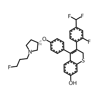 Oc1ccc2c(c1)SCC(c1ccc(C(F)F)cc1F)=C2c1ccc(O[C@H]2CCN(CCCF)C2)cc1